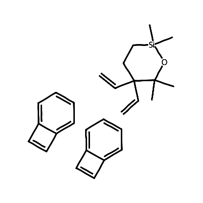 C1=Cc2ccccc21.C1=Cc2ccccc21.C=CC1(C=C)CC[Si](C)(C)OC1(C)C